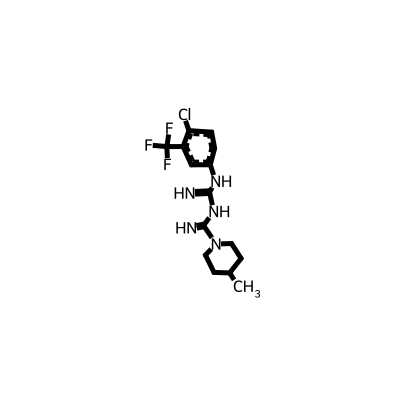 CC1CCN(C(=N)NC(=N)Nc2ccc(Cl)c(C(F)(F)F)c2)CC1